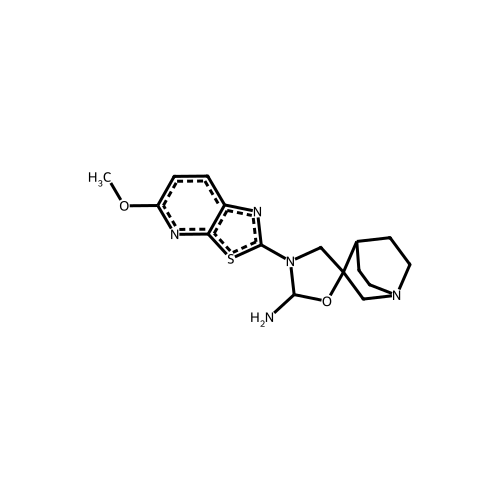 COc1ccc2nc(N3CC4(CN5CCC4CC5)OC3N)sc2n1